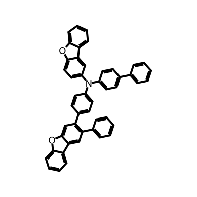 c1ccc(-c2ccc(N(c3ccc(-c4cc5oc6ccccc6c5cc4-c4ccccc4)cc3)c3ccc4oc5ccccc5c4c3)cc2)cc1